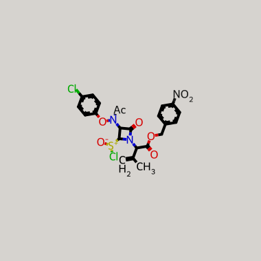 C=C(C)C(C(=O)OCc1ccc([N+](=O)[O-])cc1)N1C(=O)C(N(Oc2ccc(Cl)cc2)C(C)=O)C1[S+]([O-])Cl